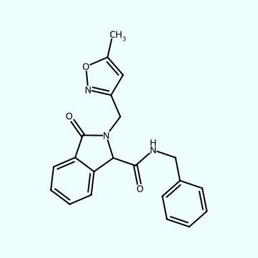 Cc1cc(CN2C(=O)c3ccccc3C2C(=O)NCc2ccccc2)no1